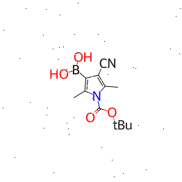 Cc1c(C#N)c(B(O)O)c(C)n1C(=O)OC(C)(C)C